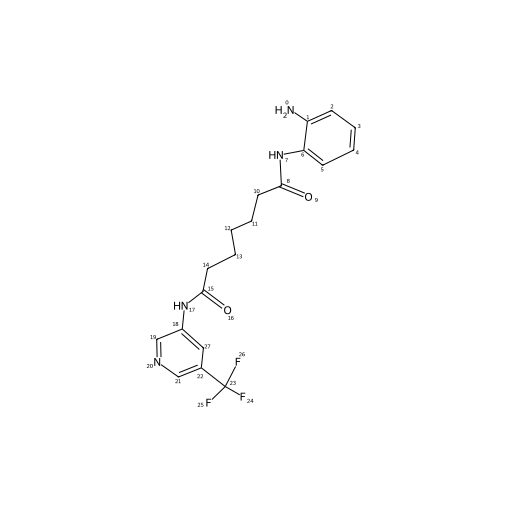 Nc1ccccc1NC(=O)CCCCCC(=O)Nc1cncc(C(F)(F)F)c1